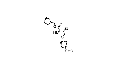 CC[C@H](COc1ccc(C=O)cc1)C(=N)C(=O)OCc1ccccc1